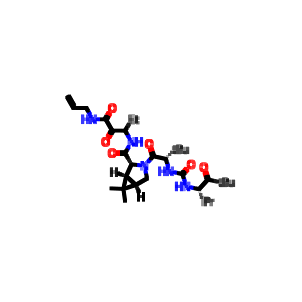 C=CCNC(=O)C(=O)C(CC)NC(=O)[C@@H]1[C@@H]2[C@H](CN1C(=O)[C@@H](NC(=O)N[C@H](C(=O)C(C)(C)C)C(C)C)C(C)(C)C)C2(C)C